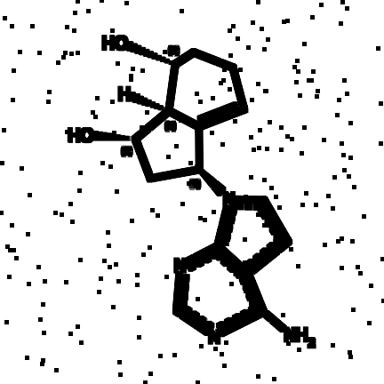 Nc1ncnc2c1ccn2[C@H]1C[C@H](O)[C@@H]2C1=CCC[C@H]2O